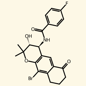 CC1(C)Oc2c(cc3c(c2Br)CCCC3=O)[C@H](NC(=O)c2ccc(F)cc2)[C@H]1O